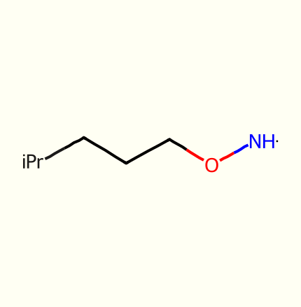 CC(C)CCCO[NH]